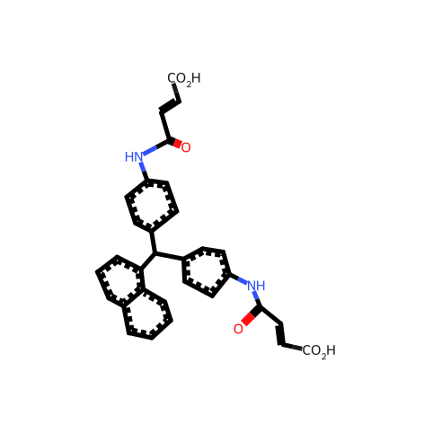 O=C(O)/C=C/C(=O)Nc1ccc(C(c2ccc(NC(=O)/C=C/C(=O)O)cc2)c2cccc3ccccc23)cc1